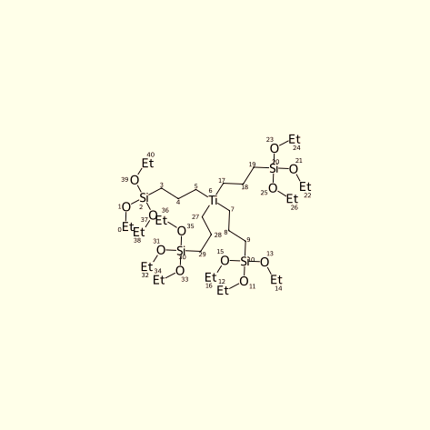 CCO[Si](CC[CH2][Ti]([CH2]CC[Si](OCC)(OCC)OCC)([CH2]CC[Si](OCC)(OCC)OCC)[CH2]CC[Si](OCC)(OCC)OCC)(OCC)OCC